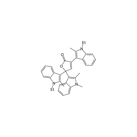 CCn1c(C)c(C2=CC(c3c(C)n(C)c4ccccc34)(c3c(C)n(CC)c4ccccc34)OC2=O)c2ccccc21